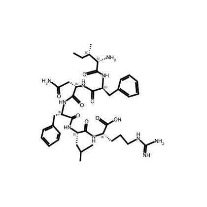 CC[C@H](C)[C@H](N)C(=O)N[C@@H](Cc1ccccc1)C(=O)N[C@@H](CC(N)=O)C(=O)N[C@@H](Cc1ccccc1)C(=O)N[C@@H](CC(C)C)C(=O)N[C@@H](CCCNC(=N)N)C(=O)O